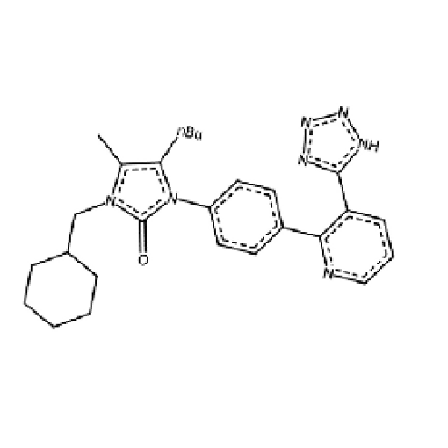 CCCCc1c(C)n(CC2CCCCC2)c(=O)n1-c1ccc(-c2ncccc2-c2nnn[nH]2)cc1